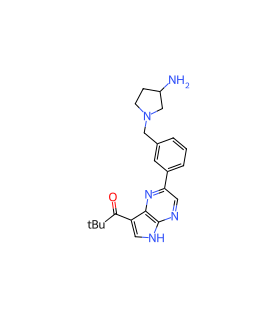 CC(C)(C)C(=O)c1c[nH]c2ncc(-c3cccc(CN4CCC(N)C4)c3)nc12